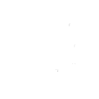 COc1ncc(C(C)(C)C)c2ccc(F)c(F)c12